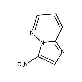 O=[N+]([O-])c1cnc2c[c]cnn12